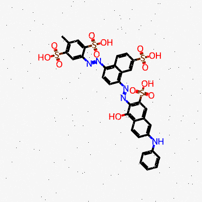 Cc1cc(S(=O)(=O)O)c(/N=N/c2ccc(/N=N/c3c(S(=O)(=O)O)cc4cc(Nc5ccccc5)ccc4c3O)c3cc(S(=O)(=O)O)ccc23)cc1S(=O)(=O)O